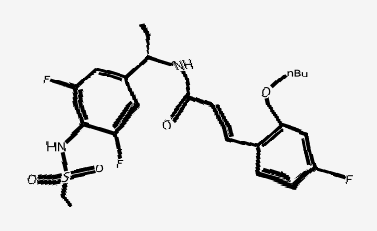 CCCCOc1cc(F)ccc1C=CC(=O)N[C@H](C)c1cc(F)c(NS(C)(=O)=O)c(F)c1